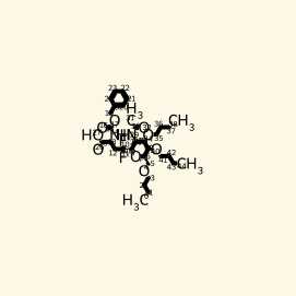 CCCCOC[C@H]1O[C@H](C(F)(F)CC(NC(=O)OCc2ccccc2)C(=O)O)[C@H](NC(C)=O)[C@@H](OCCCC)[C@H]1OCCCC